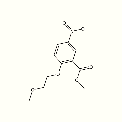 COCCOc1ccc([N+](=O)[O-])cc1C(=O)OC